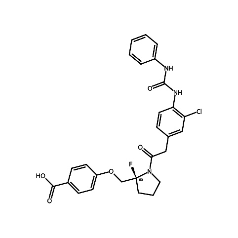 O=C(Nc1ccccc1)Nc1ccc(CC(=O)N2CCC[C@]2(F)COc2ccc(C(=O)O)cc2)cc1Cl